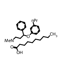 CCCCCCCCCC(=O)O.CCCc1cccc(OC(CCNC)c2ccccc2)c1